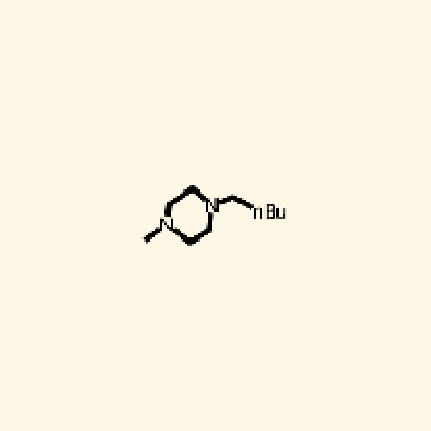 [CH2]CCCCN1CCN(C)CC1